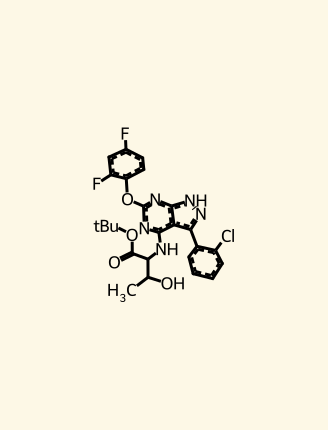 CC(O)C(Nc1nc(Oc2ccc(F)cc2F)nc2[nH]nc(-c3ccccc3Cl)c12)C(=O)OC(C)(C)C